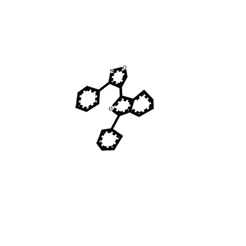 c1ccc(-c2nocc2-c2oc(-c3ccccc3)c3ccccc23)cc1